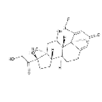 C[C@@]12C(=CC(=O)C=C1OF)CC[C@@H]1[C@@H]2C(O)C[C@@]2(C)[C@H]1CC[C@]2(O)C(=O)CO